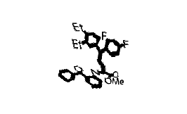 CCc1ccc(C(=CCC(=Nc2ccccc2C(=O)c2ccccc2)C(=O)OC)c2ccc(F)cc2F)cc1CC